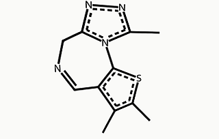 Cc1sc2c(c1C)C=NCc1nnc(C)n1-2